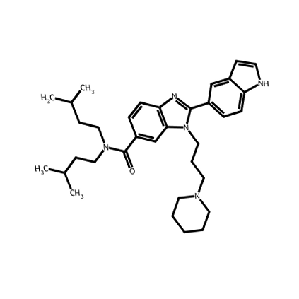 CC(C)CCN(CCC(C)C)C(=O)c1ccc2nc(-c3ccc4[nH]ccc4c3)n(CCCN3CCCCC3)c2c1